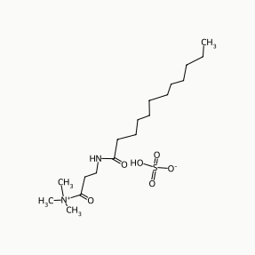 CCCCCCCCCCCC(=O)NCCC(=O)[N+](C)(C)C.O=S(=O)([O-])O